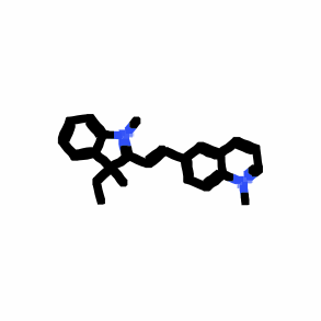 CCC1(C)C(/C=C/c2ccc3c(ccc[n+]3C)c2)=[N+](C)c2ccccc21